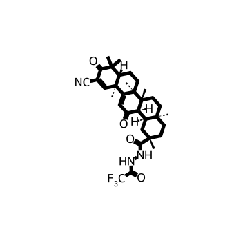 CC1(C)C(=O)C(C#N)=C[C@]2(C)C3=CC(=O)[C@@H]4[C@@H]5C[C@@](C)(C(=O)NNC(=O)C(F)(F)F)CC[C@]5(C)CC[C@@]4(C)[C@]3(C)CC[C@@H]12